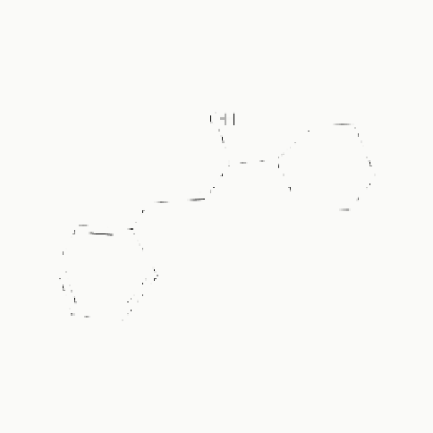 OC(/C=C/c1ccccc1)C1CCCCC1